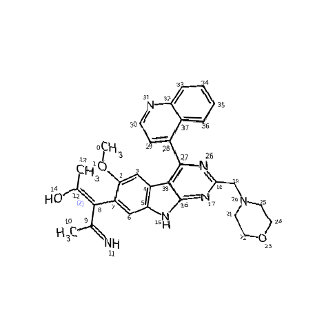 COc1cc2c(cc1/C(C(C)=N)=C(\C)O)[nH]c1nc(CN3CCOCC3)nc(-c3ccnc4ccccc34)c12